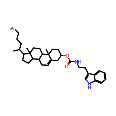 CC(C)CCCC(C)C1CCC2C3CC=C4CC(OC(=O)NCCc5c[nH]c6ccccc56)CCC4(C)C3CCC12C